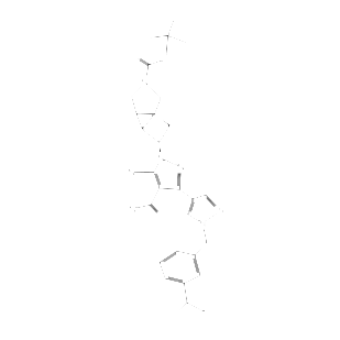 CC(C)(C)OC(=O)N1CC2[C@@H]3[C@H](n4nc(-c5cnn(Cc6cccc(C(F)F)c6)c5)c(C(N)=O)c4N)C[C@]23C1